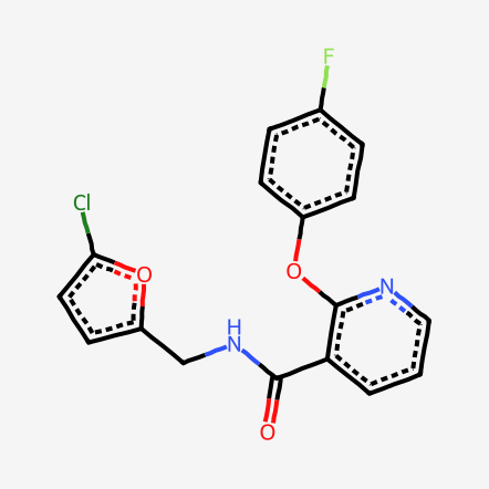 O=C(NCc1ccc(Cl)o1)c1cccnc1Oc1ccc(F)cc1